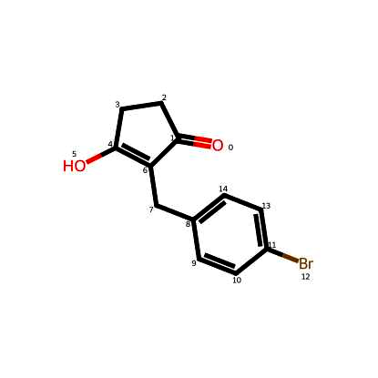 O=C1CCC(O)=C1Cc1ccc(Br)cc1